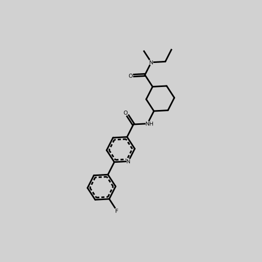 CCN(C)C(=O)C1CCCC(NC(=O)c2ccc(-c3cccc(F)c3)nc2)C1